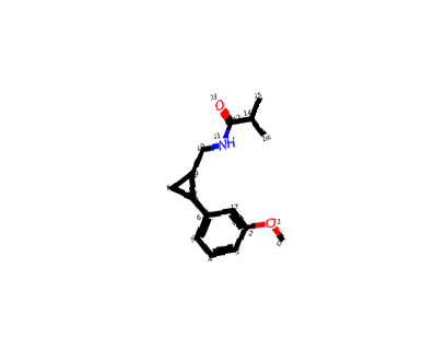 COc1cccc(C2CC2CNC(=O)C(C)C)c1